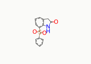 O=C1Cc2cccc(S(=O)(=O)c3ccccc3)c2N1